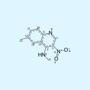 CNc1c([N+](=O)[O-])cnc2ccc(C)cc12